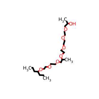 CCCC(CCC)OCCOCCOCC(C)OCCOCCOCCOCC(C)O